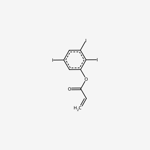 C=CC(=O)Oc1cc(I)cc(I)c1I